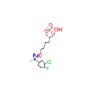 C/C(=N/OCCCCC1COC(C)(C(=O)O)OC1)c1ccc(F)c(Cl)c1